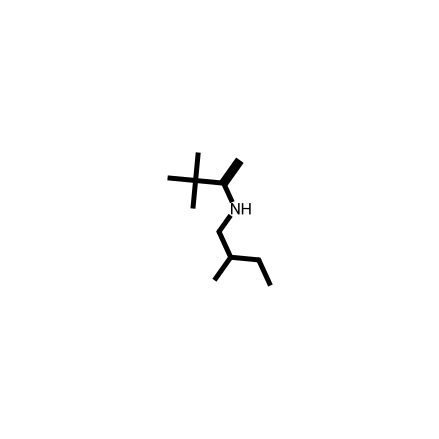 C=C(NCC(C)CC)C(C)(C)C